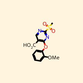 COc1ccccc1Oc1nc(S(C)(=O)=O)ncc1C(=O)O